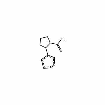 O=C(N1CCCC1c1cccnc1)C(F)(F)F